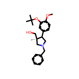 COc1ccc(C2CN(Cc3ccccc3)C[C@@]2(C)CO)cc1OC(C)(C)C